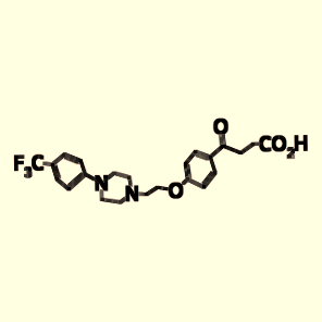 O=C(O)CCC(=O)c1ccc(OCCN2CCN(c3ccc(C(F)(F)F)cc3)CC2)cc1